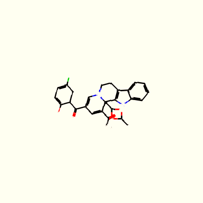 COC(=O)C1=CC(C(=O)C2CC(Cl)=CC=C2O)=CN2CCc3c([nH]c4ccccc34)C12C1OC(C)O1